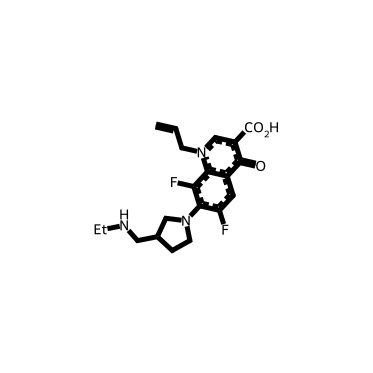 C=CCn1cc(C(=O)O)c(=O)c2cc(F)c(N3CCC(CNCC)C3)c(F)c21